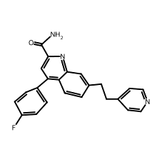 NC(=O)c1cc(-c2ccc(F)cc2)c2ccc(CCc3ccncc3)cc2n1